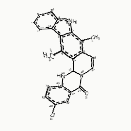 Cc1c2c(c(C)c3c1[nH]c1ccccc13)C1Nc3ccc(Cl)cc3C(=O)N1C=C2